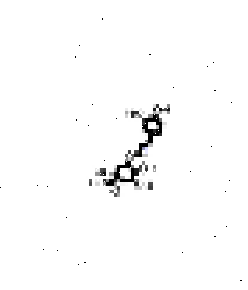 O=C(/C=C/c1ccc(O)c(O)c1)OC1C[C@@](O)(C(=O)O)CC(O)[C@@H]1O